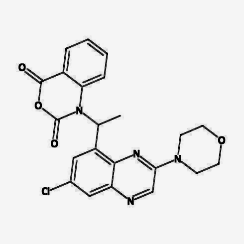 CC(c1cc(Cl)cc2ncc(N3CCOCC3)nc12)n1c(=O)oc(=O)c2ccccc21